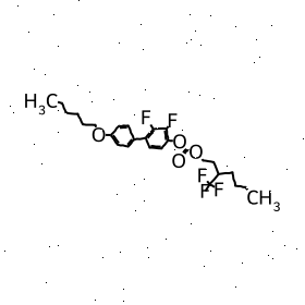 CCCCCCOc1ccc(-c2ccc(OC(=O)OCCC(CCCC)C(F)(F)F)c(F)c2F)cc1